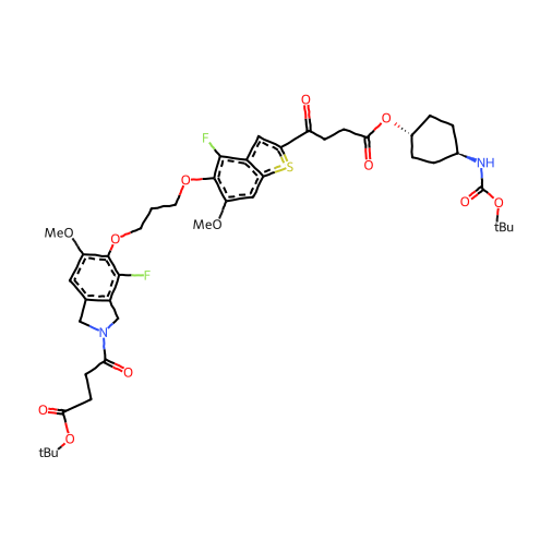 COc1cc2c(c(F)c1OCCCOc1c(OC)cc3sc(C(=O)CCC(=O)O[C@H]4CC[C@H](NC(=O)OC(C)(C)C)CC4)cc3c1F)CN(C(=O)CCC(=O)OC(C)(C)C)C2